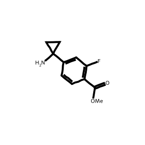 COC(=O)c1ccc(C2(N)CC2)cc1F